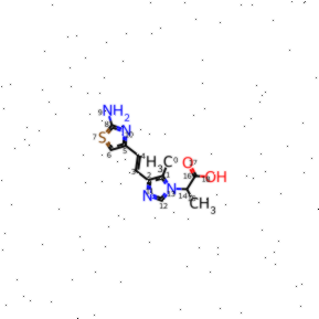 Cc1c(C=Cc2csc(N)n2)ncn1C(C)C(=O)O